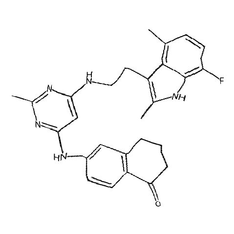 Cc1nc(NCCc2c(C)[nH]c3c(F)ccc(C)c23)cc(Nc2ccc3c(c2)CCCC3=O)n1